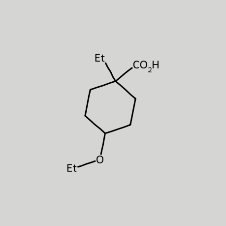 CCOC1CCC(CC)(C(=O)O)CC1